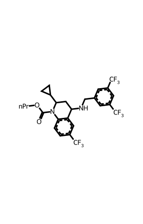 CCCOC(=O)N1c2ccc(C(F)(F)F)cc2C(NCc2cc(C(F)(F)F)cc(C(F)(F)F)c2)CC1C1CC1